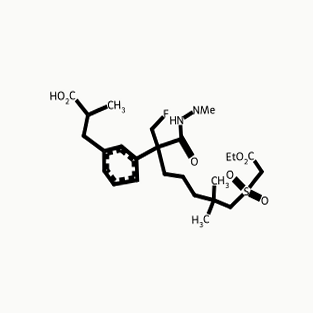 CCOC(=O)CS(=O)(=O)CC(C)(C)CCCC(CF)(C(=O)NNC)c1cccc(CC(C)C(=O)O)c1